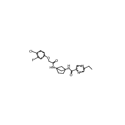 CCc1cnc(C(=O)NC23CCC(NC(=O)COc4ccc(Cl)c(F)c4)(C2)C3)cn1